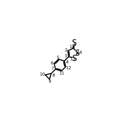 S=c1cc(-c2ccc(C3CC3)cc2)ss1